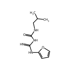 CC(C)CNC(=O)NC(=N)Nc1ccco1